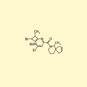 CC/C(=C/C(=N\C1=CC(Br)C1C)C(=O)N1CCCC2(CC=CC2)C1C)NC